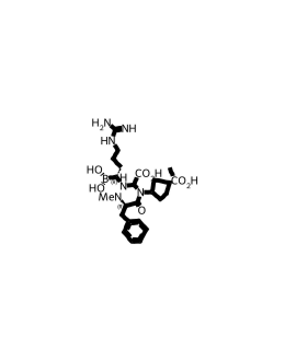 CC(=O)O.CN[C@H](Cc1ccccc1)C(=O)N(C1CCCC1)C(N[C@@H](CCCNC(=N)N)B(O)O)C(=O)O